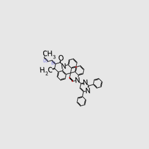 C=c1/c(=C\C=C/C)c(=O)n2c3c(cccc13)C1(c3ccccc3N(c3cc(-c4ccccc4)nc(-c4ccccc4)n3)c3ccccc31)c1ccccc1-2